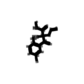 BC(CC=C)(C(=C)NC)C(=C)c1cc(C)ccc1C